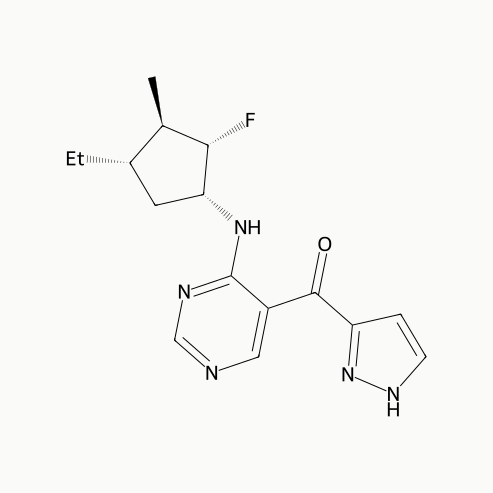 CC[C@H]1C[C@@H](Nc2ncncc2C(=O)c2cc[nH]n2)[C@@H](F)[C@@H]1C